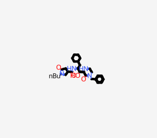 CCCCN1CC(C(=O)NC(CC2CCCCC2)[C@H](O)[C@@H]2NCCN(Cc3ccccc3)C2=O)CC1=O